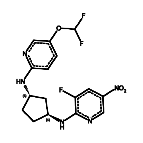 O=[N+]([O-])c1cnc(N[C@H]2CC[C@H](Nc3ccc(OC(F)F)cn3)C2)c(F)c1